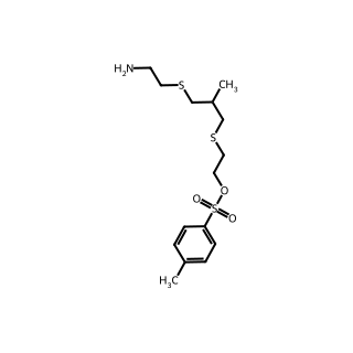 Cc1ccc(S(=O)(=O)OCCSCC(C)CSCCN)cc1